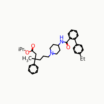 CCc1ccc(-c2ccccc2C(=O)NC2CCN(CCCC(C)(CC(=O)OC(C)C)c3ccccc3)CC2)cc1